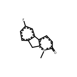 Cn1c2c(ccc1=O)-c1cc(F)ccc1C2